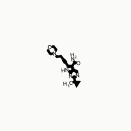 CC1(c2ncc3c(C(N)=O)c(C#CCCN4CCOCC4)[nH]c3n2)CC1